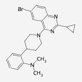 CN(C)c1ccccc1C1CCN(c2nc(C3CC3)nc3ccc(Br)cc23)CC1